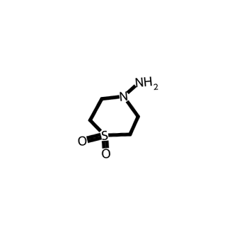 NN1CCS(=O)(=O)CC1